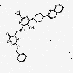 Cc1c(NCC(NC(=O)OCc2ccccc2)C(=O)O)nc(C2CC2)nc1N1CCC(c2ccc3cccnc3n2)CC1